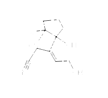 CC/C=C(/CC#N)C1(C)CCCC1(C)C